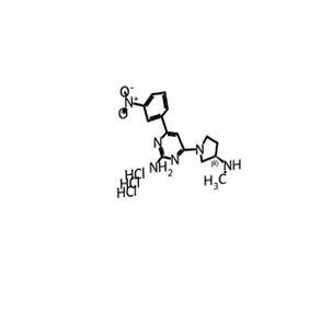 CN[C@@H]1CCN(c2cc(-c3cccc([N+](=O)[O-])c3)nc(N)n2)C1.Cl.Cl.Cl